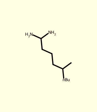 CCCCC(C)CCCC(N)N